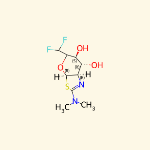 CN(C)C1=N[C@@H]2[C@@H](O)[C@H](O)C(C(F)F)O[C@@H]2S1